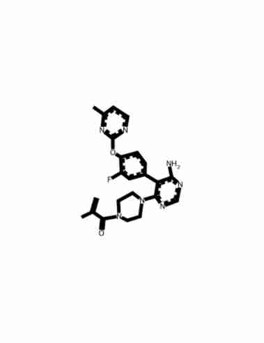 C=C(C)C(=O)N1CCN(c2ncnc(N)c2-c2ccc(Oc3nccc(C)n3)c(F)c2)CC1